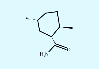 C[C@@H]1CC[C@@H](C)[C@H](C(N)=O)C1